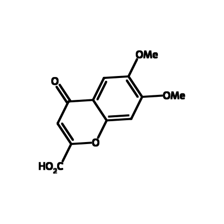 COc1cc2oc(C(=O)O)cc(=O)c2cc1OC